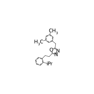 Cc1cc(C)cc(Cc2nnc(CCc3ccccc3C(C)C)o2)c1